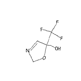 OC1(C(F)(F)F)C=NCO1